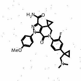 COc1ccc(-n2nc(C(N)=O)c3c2C(=O)N(c2ccc(C4(CN(C)C)CC4)cc2F)CC32CC2)cc1